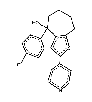 OC1(c2ccc(Cl)cc2)CCCCc2sc(-c3ccncc3)cc21